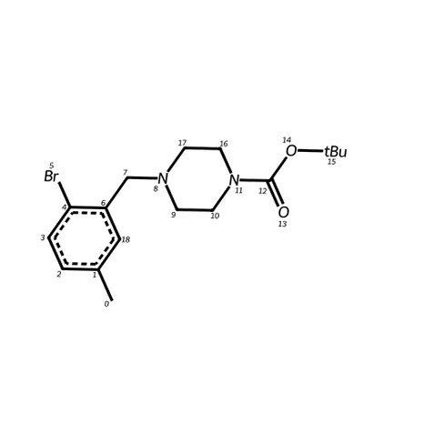 Cc1ccc(Br)c(CN2CCN(C(=O)OC(C)(C)C)CC2)c1